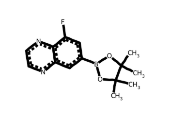 CC1(C)OB(c2cc(F)c3nccnc3c2)OC1(C)C